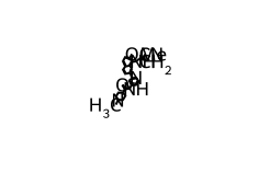 C=C(C#N)CNc1c(OC)ccc2ccc(-c3cc(NC(=O)C4CCN(C)CC4)ccn3)cc12